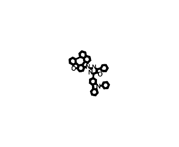 c1ccc(-n2c3ccccc3c3ccc(-c4nc(-n5c6ccc7cccc8c7c6c6c7c(ccc65)oc5cccc-8c57)nc5c4oc4ccccc45)cc32)cc1